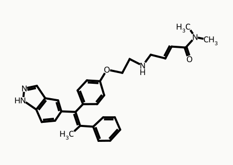 C/C(=C(/c1ccc(OCCNC/C=C/C(=O)N(C)C)cc1)c1ccc2[nH]ncc2c1)c1ccccc1